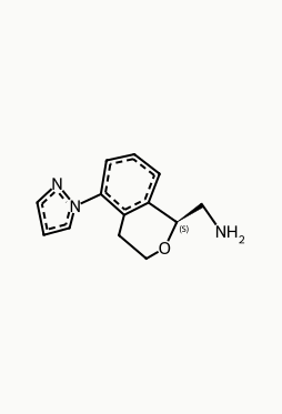 NC[C@H]1OCCc2c1cccc2-n1cccn1